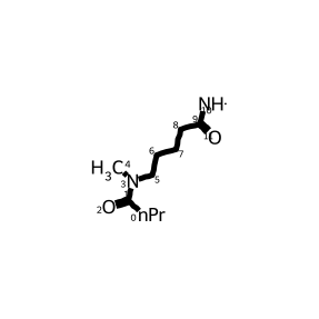 CCCC(=O)N(C)CCCCC([NH])=O